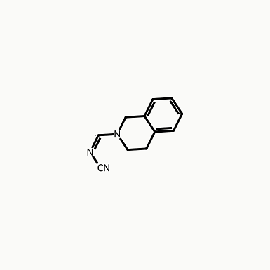 N#C/N=[C]\N1CCc2ccccc2C1